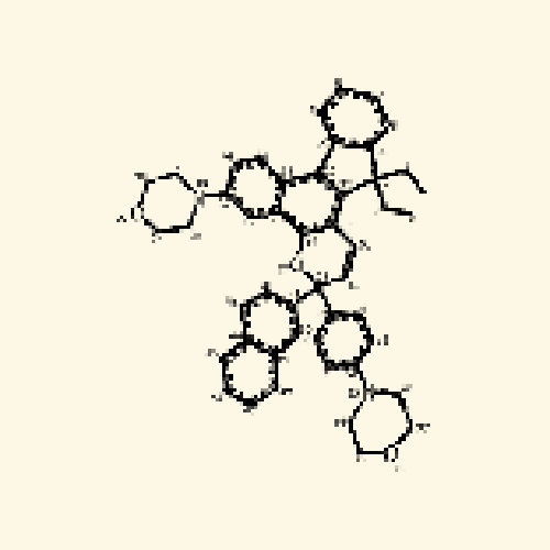 CCC1(CC)c2ccccc2-c2c1c1c(c3cc(N4CCOCC4)ccc23)OC(c2ccc(N3CCOCC3)cc2)(c2ccc3ccccc3c2)C=C1